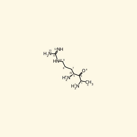 CC(N)C(=O)[C@@H](N)CCCNC(=N)N